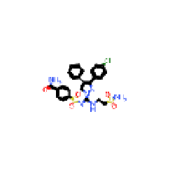 NC(=O)c1ccc(S(=O)(=O)/N=C(/NCCS(N)(=O)=O)N2C[C@@H](c3ccccc3)C(c3ccc(Cl)cc3)=N2)cc1